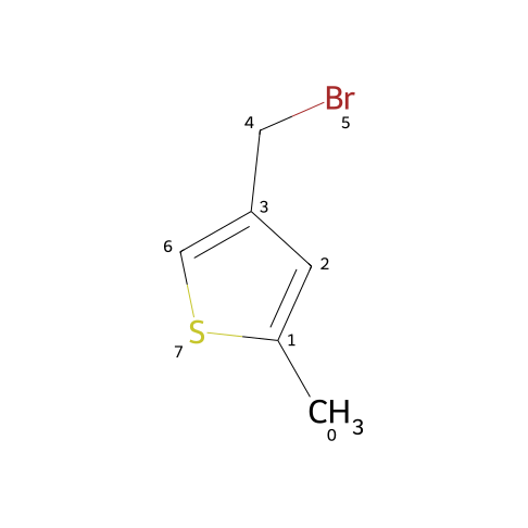 Cc1cc(CBr)cs1